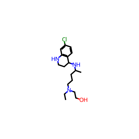 CCN(CCO)CCCC(C)NC1CCNc2cc(Cl)ccc21